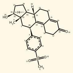 C[C@]12C[C@H](c3ccc(S(C)(=O)=O)cc3)C3=C4CCC(=O)C=C4CC[C@H]3[C@@H]1CC[C@@H]2O